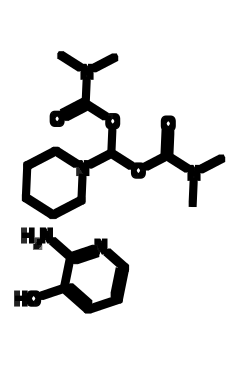 CN(C)C(=O)OC(OC(=O)N(C)C)N1CCCCC1.Nc1ncccc1O